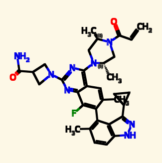 C=CC(=O)N1C[C@H](C)N(c2nc(N3CC(C(N)=O)C3)nc3c(F)c(-c4c(C)ccc5[nH]nc(C6CC6)c45)c(C)cc23)C[C@H]1C